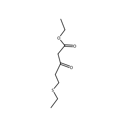 CCOC(=O)CC(=O)CCSCC